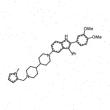 COc1ccc(-c2[nH]c3ccc(N4CCC(C5CCN(Cc6cccn6C)CC5)CC4)cc3c2C(C)C)cc1OC